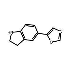 c1ncc(-c2ccc3c(c2)CCN3)o1